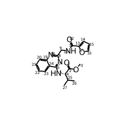 COC(=O)[C@@H](Nc1nc(CNC(=O)c2ccco2)nc2ccccc12)C(C)C